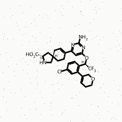 Nc1nc(O[C@H](c2ccc(Cl)cc2C2=CCCOC2)C(F)(F)F)cc(C2=CC[C@@]3(CC2)CN[C@H](C(=O)O)C3)n1